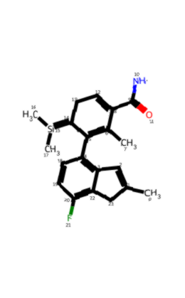 CC1=Cc2c(C3=C(C)C(C([NH])=O)=CCC3=[Si](C)C)ccc(F)c2C1